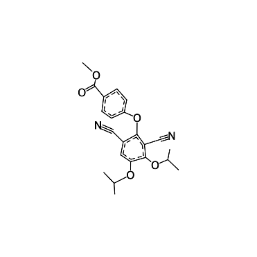 COC(=O)c1ccc(Oc2c(C#N)cc(OC(C)C)c(OC(C)C)c2C#N)cc1